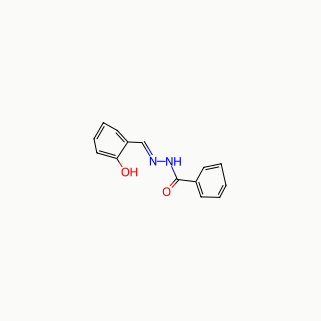 O=C(N/N=C/c1ccccc1O)c1ccccc1